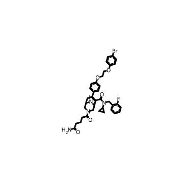 NC(=O)CCCC(=O)N1CC2CC(c3ccc(OCCOc4ccc(Br)cc4)cc3)=C(C(=O)N(Cc3ccccc3F)C3CC3)C(C1)N2